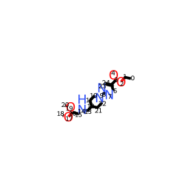 CCOC(=O)c1cnc(N2CCC(CNCC(OC)OC)CC2)nc1